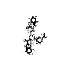 CC(=O)N1CCOC(C(=O)N[C@@H](CCCCN(Cc2ccccc2)C(=O)O)C(=O)c2nc3ccccc3s2)C1